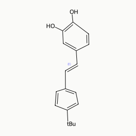 CC(C)(C)c1ccc(/C=C/c2ccc(O)c(O)c2)cc1